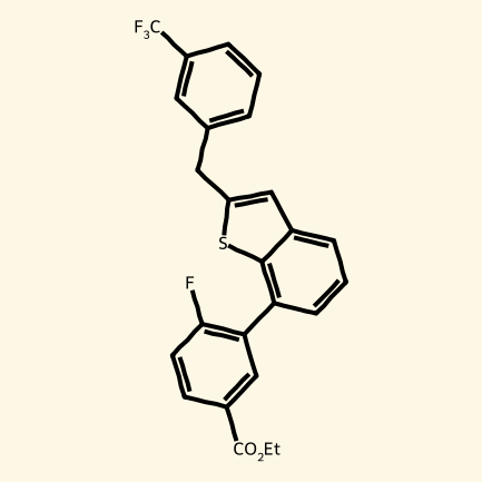 CCOC(=O)c1ccc(F)c(-c2cccc3cc(Cc4cccc(C(F)(F)F)c4)sc23)c1